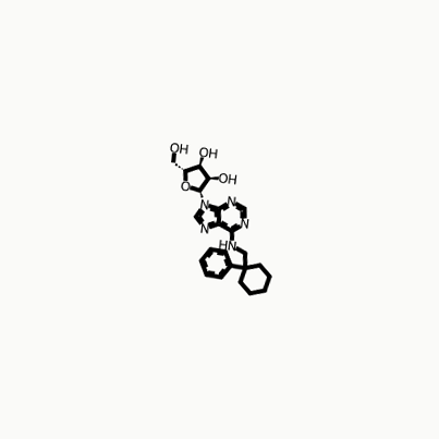 OC[C@H]1O[C@@H](n2cnc3c(NCC4(c5ccccc5)CCCCC4)ncnc32)[C@H](O)[C@@H]1O